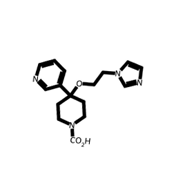 O=C(O)N1CCC(OCCn2ccnc2)(c2cccnc2)CC1